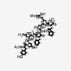 CNC(=N)NCCC[C@H](NC(=O)[C@H](CC(C)C)NC(=O)NNC(=O)[C@H](Cc1ccccc1)NC(=O)[C@H](C)NC(=O)[C@H](CC(N)=O)NC(=O)[C@@H]1C[C@@H](O)CN1C(=O)[C@@H](Cc1ccc(O)cc1)NC(C)=O)C(=O)N[C@@H](Cc1c[nH]c2ccccc12)C(N)=O